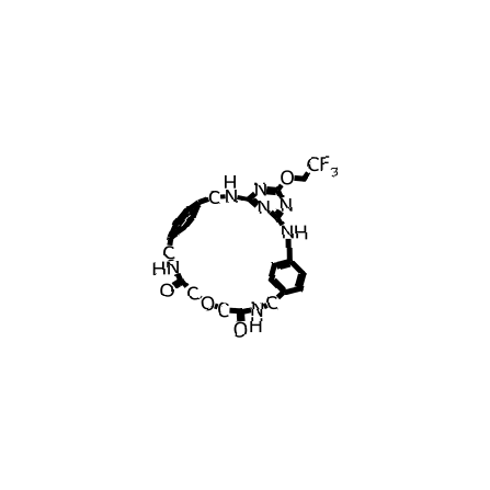 O=C1COCC(=O)NCc2ccc(cc2)Nc2nc(nc(OCC(F)(F)F)n2)NCc2ccc(cc2)CN1